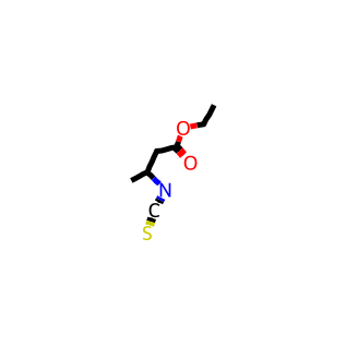 CCOC(=O)CC(C)N=C=S